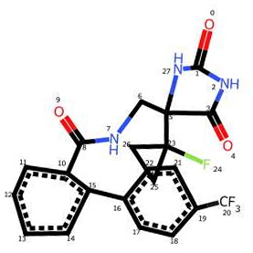 O=C1NC(=O)C(CNC(=O)c2ccccc2-c2ccc(C(F)(F)F)cc2)(C2(F)CC2)N1